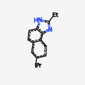 CCc1nc2c(ccc3cc(C(C)C)ccc32)[nH]1